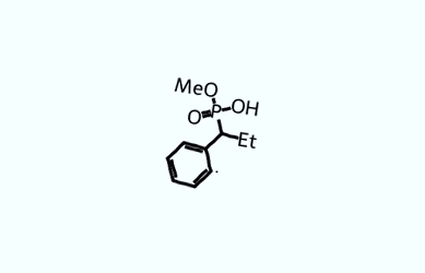 CCC(c1[c]cccc1)P(=O)(O)OC